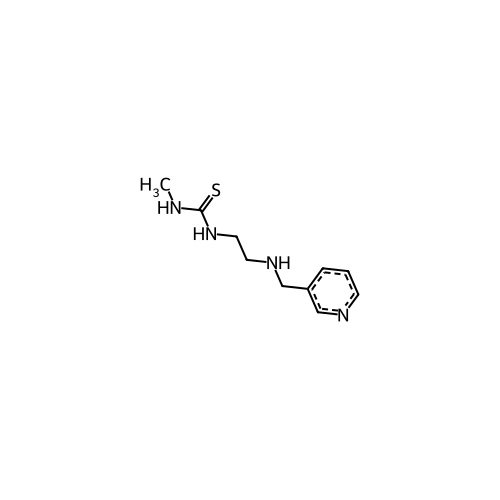 CNC(=S)NCCNCc1cccnc1